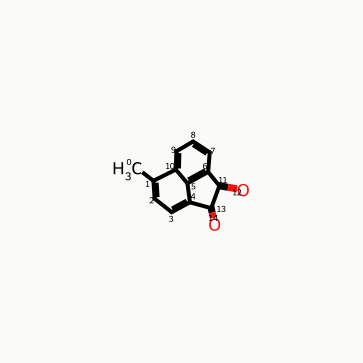 Cc1ccc2c3c(cccc13)C(=O)C2=O